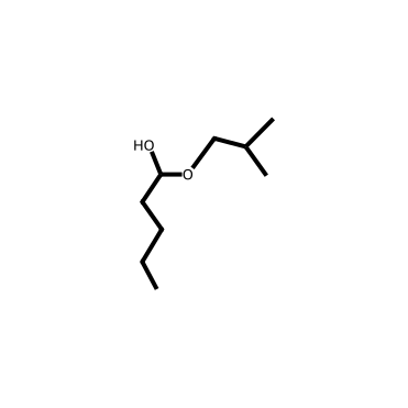 CCCCC(O)OCC(C)C